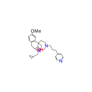 COc1ccc2c(c1)C13CCN(CCCc4ccncc4)CCC1(O)C(C2)N(CC1CC1)CC3